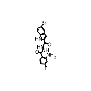 Nc1cc(F)ccc1C(=O)NNC(=O)c1cc2cc(Br)ccc2[nH]1